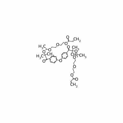 C=CC(=O)OCCOCCOC(C)OC(C)(C)C(=O)c1ccc(Oc2ccc(C(=O)C(C)(C)OC(C)OCCOCCOC(=O)C=C)cc2)cc1